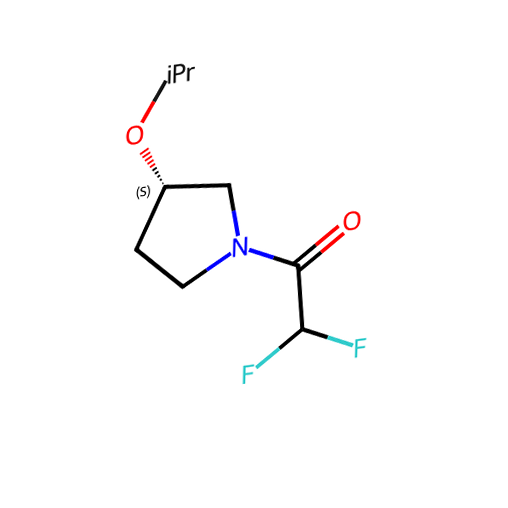 CC(C)O[C@H]1CCN(C(=O)C(F)F)C1